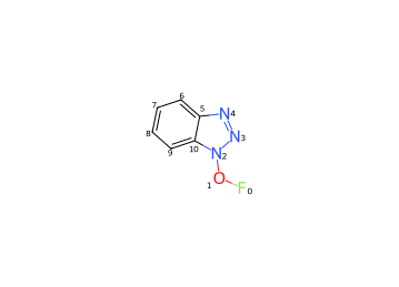 FOn1nnc2ccccc21